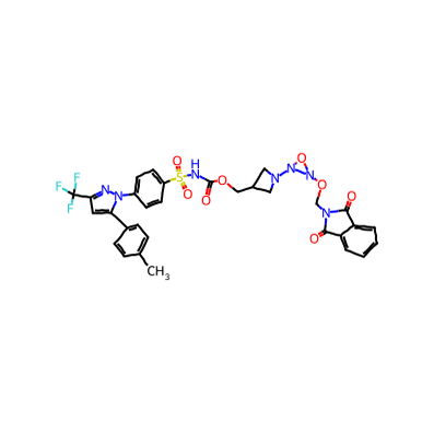 Cc1ccc(-c2cc(C(F)(F)F)nn2-c2ccc(S(=O)(=O)NC(=O)OCC3CN(n4on4OCN4C(=O)c5ccccc5C4=O)C3)cc2)cc1